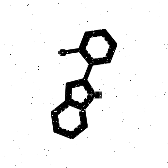 [O]c1ccccc1-c1cc2ccccc2[nH]1